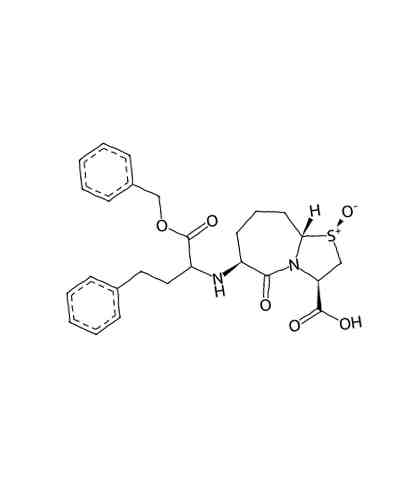 O=C(OCc1ccccc1)C(CCc1ccccc1)N[C@H]1CCC[C@H]2N(C1=O)[C@H](C(=O)O)C[S@+]2[O-]